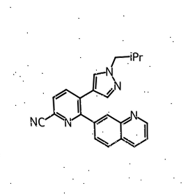 CC(C)Cn1cc(-c2ccc(C#N)nc2-c2ccc3cccnc3c2)cn1